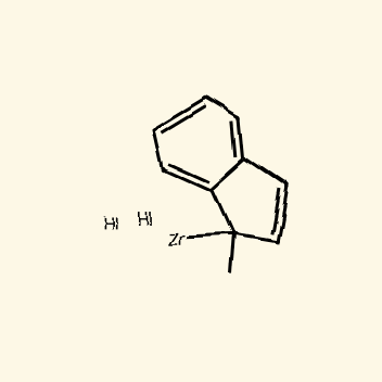 C[C]1([Zr])C=Cc2ccccc21.I.I